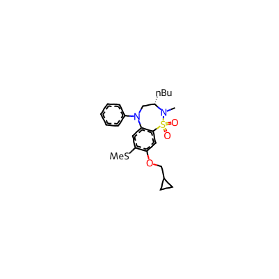 CCCC[C@H]1CN(c2ccccc2)c2cc(SC)c(OCC3CC3)cc2S(=O)(=O)N1C